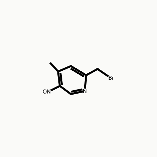 Cc1cc(CBr)ncc1N=O